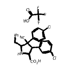 CC(C)CC1NC(C(=O)O)C(c2cccc(Cl)c2)C1(C#N)c1ccc(Cl)cc1.O=C(O)C(F)(F)F